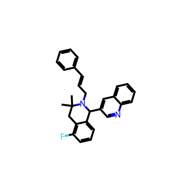 CC1(C)Cc2c(F)cccc2C(c2cnc3ccccc3c2)N1C/C=C/c1ccccc1